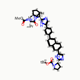 COC(=O)N[C@H](C(=O)N1[C@@H]2CC[C@@H](C2)[C@H]1c1ncc(-c2ccc(-c3ccc4cc(-c5cnc([C@@H]6CCCN6C(=O)OC(C)(C)C)[nH]5)ccc4c3)cc2)[nH]1)C(C)C